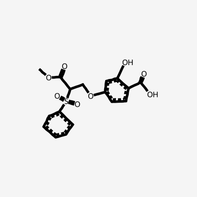 COC(=O)C(COc1ccc(C(=O)O)c(O)c1)S(=O)(=O)c1ccccc1